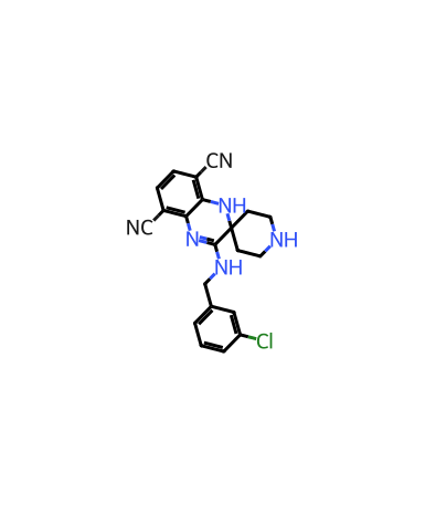 N#Cc1ccc(C#N)c2c1N=C(NCc1cccc(Cl)c1)C1(CCNCC1)N2